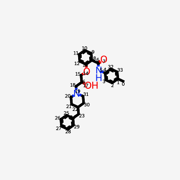 Cc1ccc(NC(=O)c2ccccc2OCC(O)CN2CCC(Cc3ccccc3)CC2)cc1